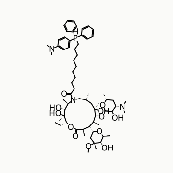 CC[C@H]1OC(=O)[C@H](C)C([C@H]2C[C@@](C)(OC)[C@@H](O)[C@H](C)O2)[C@H](C)[C@@H](O[C@@H]2O[C@H](C)C[C@H](N(C)C)[C@H]2O)[C@](C)(O)C[C@@H](C)CN(C(=O)CCCCCCCCC[PH](c2ccccc2)(c2ccccc2)c2ccc(N(C)C)cc2)[C@H](C)[C@@H](O)[C@]1(C)O